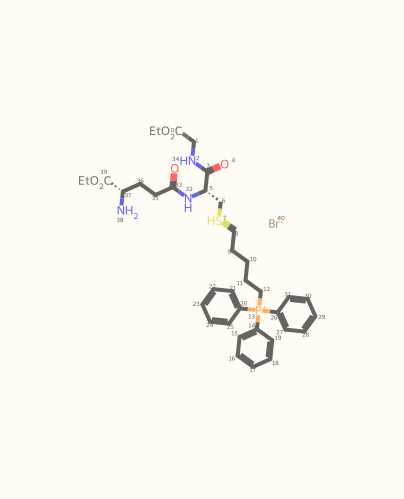 CCOC(=O)CNC(=O)[C@H](C[SH]=CCCCC[P+](c1ccccc1)(c1ccccc1)c1ccccc1)NC(=O)CC[C@H](N)C(=O)OCC.[Br-]